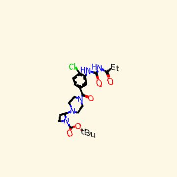 CCC(=O)NC(=O)Nc1cc(C(=O)N2CCN(C3CCN3C(=O)OC(C)(C)C)CC2)ccc1Cl